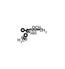 C=C/C=C(\C)NC(=O)NCc1cc(-c2ccccc2)n(-c2ccc(S(C)(=O)=O)cc2)n1